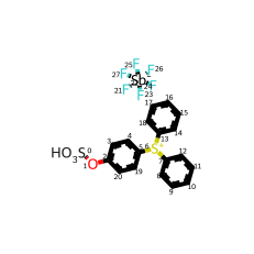 O=S(=O)(O)Oc1ccc([S+](c2ccccc2)c2ccccc2)cc1.[F][Sb-]([F])([F])([F])([F])[F]